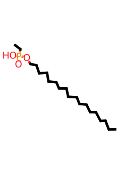 CCCCCCCCCCCCCCCCCCOP(=O)(O)CC